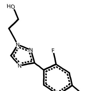 CC(C)c1ccc(-c2ncn(CCO)n2)c(F)c1